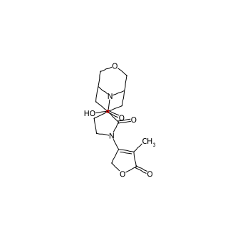 CC1=C(N2CCC3(CC4COCC(C3)N4C(=O)O)C2=O)COC1=O